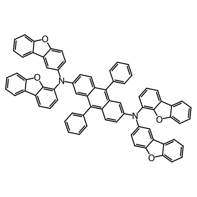 c1ccc(-c2c3ccc(N(c4ccc5oc6ccccc6c5c4)c4cccc5c4oc4ccccc45)cc3c(-c3ccccc3)c3ccc(N(c4ccc5oc6ccccc6c5c4)c4cccc5c4oc4ccccc45)cc23)cc1